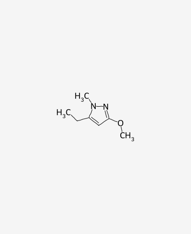 CCc1cc(OC)nn1C